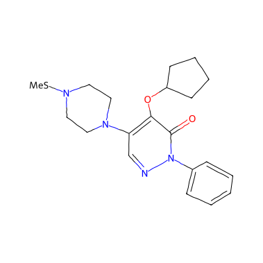 CSN1CCN(c2cnn(-c3ccccc3)c(=O)c2OC2CCCC2)CC1